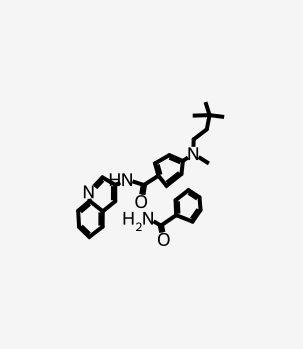 CN(CCC(C)(C)C)c1ccc(C(=O)Nc2cnc3ccccc3c2)cc1.NC(=O)c1ccccc1